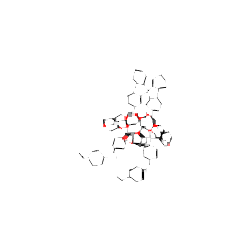 C=Cc1ccc(Oc2ccc(C3(c4ccccc4F)c4ccccc4-c4ccc(N(c5ccc(F)cc5)c5ccc6c(c5)C5(c7ccccc7-6)c6ccccc6-c6ccc(N(c7ccc(F)cc7)c7ccc8c(c7)C(c7ccc(Oc9ccc(C=C)cc9)cc7)(c7ccccc7F)c7ccccc7-8)cc65)cc43)cc2)cc1